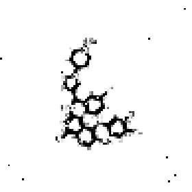 CC(C)(C)N1CCC(n2cc(C(Nc3cc(Cl)c4ncc(C#N)c(Nc5ccc(F)c(Cl)c5)c4c3)c3cccc(I)c3)nn2)CC1